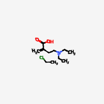 C=C(CCN(CC)CC)C(=O)O.CCCl